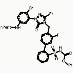 CCCCCNc1ccc(Br)c(-n2nc(CC)n(Cc3ccc(-c4ccccc4S(=O)(=O)NC(=O)OC(C)C)cc3F)c2=O)c1